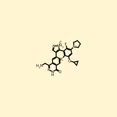 Cn1ncc(-c2ccc3c(=O)[nH]nc(CN)c3c2)c1-c1c(F)c(N2CCCC2)cc(OC2CC2)c1C#N